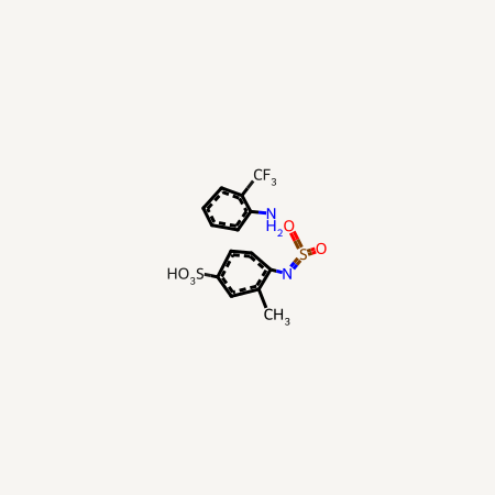 Cc1cc(S(=O)(=O)O)ccc1N=S(=O)=O.Nc1ccccc1C(F)(F)F